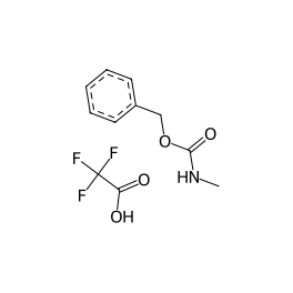 CNC(=O)OCc1ccccc1.O=C(O)C(F)(F)F